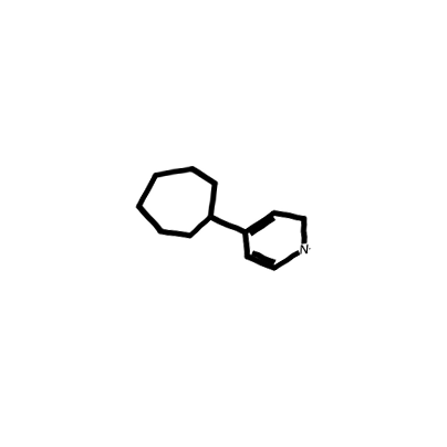 C1=CC(C2CCCCCC2)=CC[N]1